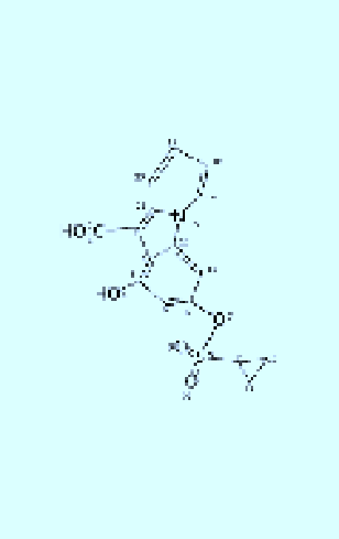 O=C(O)c1c2c(O)cc(OS(=O)(=O)C3CC3)cc2n2ccccc12